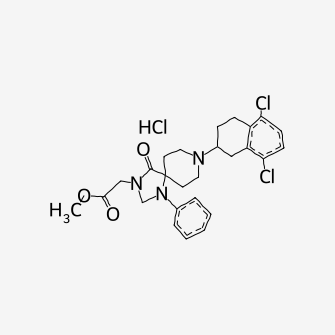 COC(=O)CN1CN(c2ccccc2)C2(CCN(C3CCc4c(Cl)ccc(Cl)c4C3)CC2)C1=O.Cl